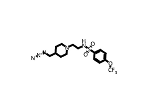 [N-]=[N+]=NCC1CCN(CCNS(=O)(=O)c2ccc(OC(F)(F)F)cc2)CC1